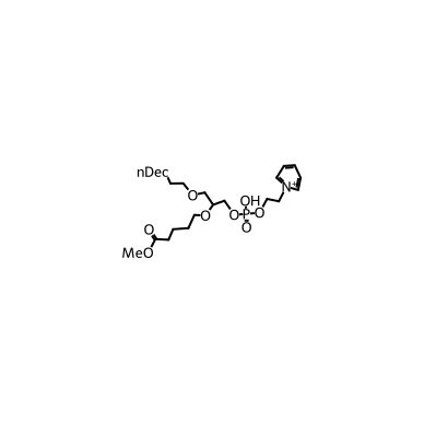 CCCCCCCCCCCCOCC(COP(=O)(O)OCC[n+]1ccccc1)OCCCCC(=O)OC